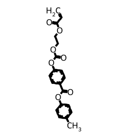 C=CC(=O)OCCOC(=O)Oc1ccc(C(=O)Oc2ccc(C)cc2)cc1